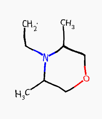 [CH2]CN1C(C)COCC1C